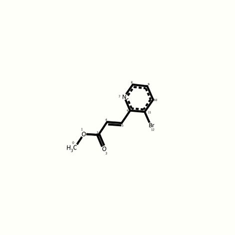 COC(=O)/C=C/c1ncccc1Br